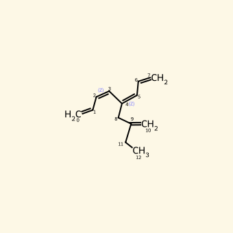 C=C/C=C\C(=C/C=C)CC(=C)CC